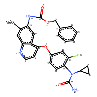 COc1cc2nccc(Oc3ccc(N(C(N)=O)C4CC4)c(F)c3)c2cc1NC(=O)OCc1ccccc1